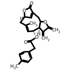 C=C1OC2CC3=C[C@@H](C/C(C)=C/[C@@H](OC(=O)Cc4ccc(C)cc4)[C@@H]2C1=C)OC3=O